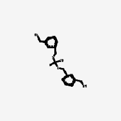 CCC(C)(SCc1cccc(CS)c1)SCc1cccc(CS)c1